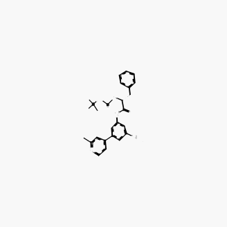 Cc1cc(-c2cc(N)cc(NC(=O)[C@H](Cc3ccccc3)NC(=O)OC(C)(C)C)c2)ccn1